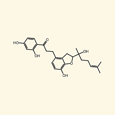 CC(C)=CCCC(C)(O)C1Cc2c(CCC(=O)c3ccc(O)cc3O)ccc(O)c2O1